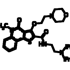 CC(C)N(CCNC(=O)c1sc2c(c1OCCN1CCOCC1)c(=O)n(C)c1ccccc21)C(C)C